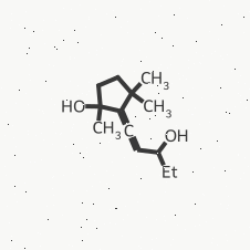 CCC(O)C=C=C1C(C)(C)CCC1(C)O